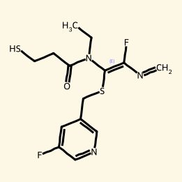 C=N/C(F)=C(\SCc1cncc(F)c1)N(CC)C(=O)CCS